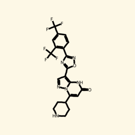 O=c1cc(C2CCNCC2)n2ncc(-c3nc(-c4ccc(C(F)(F)F)cc4C(F)(F)F)no3)c2[nH]1